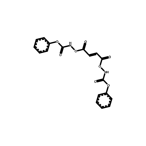 O=C(C=CC(=O)ONC(=O)Oc1ccccc1)ONC(=O)Oc1ccccc1